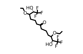 CCOC(CCCC(=O)CCCC(OCC)[C@H](O)C(F)(F)F)[C@H](O)C(F)(F)F